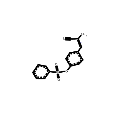 C/C(C#N)=C/c1ccc(OS(=O)(=O)c2ccccc2)cc1